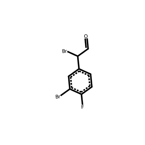 O=CC(Br)c1ccc(F)c(Br)c1